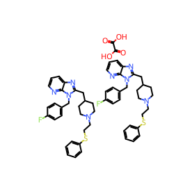 Fc1ccc(Cn2c(CC3CCN(CCSc4ccccc4)CC3)nc3cccnc32)cc1.Fc1ccc(Cn2c(CC3CCN(CCSc4ccccc4)CC3)nc3cccnc32)cc1.O=C(O)C(=O)O